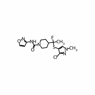 Cn1cc(SC(C)(F)C2CCN(C(=O)Nc3ccon3)CC2)c(Cl)n1